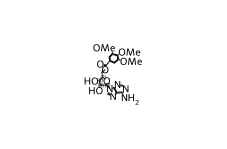 COc1cc(C(=O)OC[C@H]2O[C@@H](n3cnc4c(N)ncnc43)[C@H](O)[C@@H]2O)cc(OC)c1OC